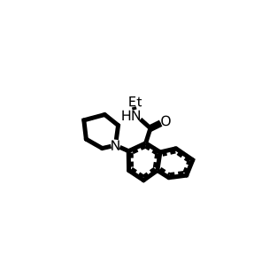 CCNC(=O)c1c(N2CCCCC2)ccc2ccccc12